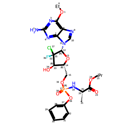 CCOc1nc(N)nc2c1ncn2[C@@H]1O[C@H](CO[P@](=O)(N[C@@H](C)C(=O)OC(C)C)Oc2ccccc2)[C@@H](O)[C@]1(F)Cl